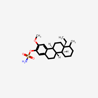 CC[C@]12CC[C@@H]3c4cc(OC)c(OS(N)(=O)=O)cc4CC[C@H]3[C@@H]1CCCC2C